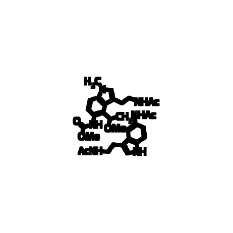 CC(=O)NCCc1c[nH]c2ccc(NC(C)=O)cc12.COC(=O)Nc1ccc2c(c(CCNC(C)=O)cn2C)c1C(C)OC